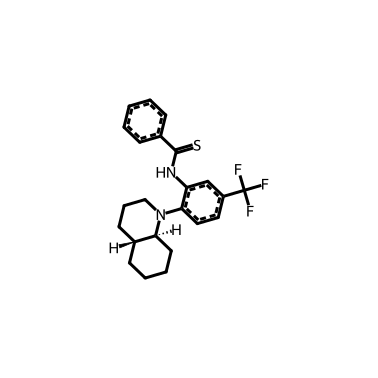 FC(F)(F)c1ccc(N2CCC[C@H]3CCCC[C@@H]32)c(NC(=S)c2ccccc2)c1